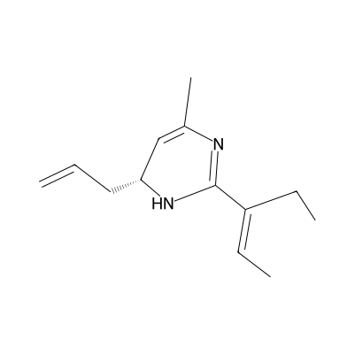 C=CC[C@@H]1C=C(C)N=C(/C(=C/C)CC)N1